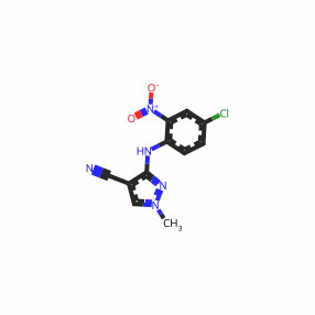 Cn1cc(C#N)c(Nc2ccc(Cl)cc2[N+](=O)[O-])n1